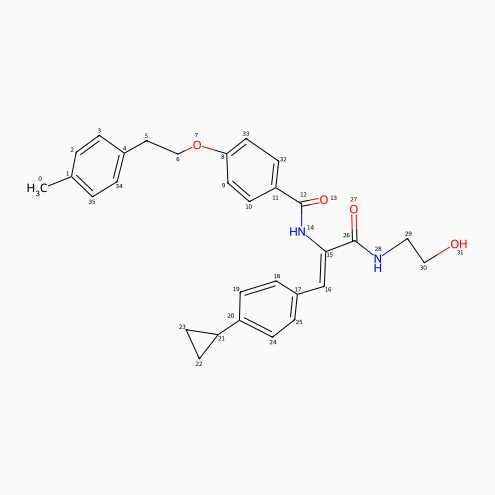 Cc1ccc(CCOc2ccc(C(=O)N/C(=C\c3ccc(C4CC4)cc3)C(=O)NCCO)cc2)cc1